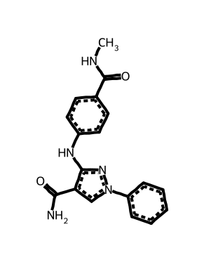 CNC(=O)c1ccc(Nc2nn(-c3ccccc3)cc2C(N)=O)cc1